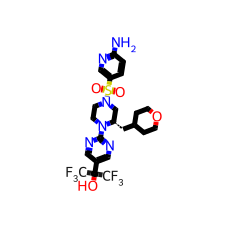 Nc1ccc(S(=O)(=O)N2CCN(c3ncc(C(O)(C(F)(F)F)C(F)(F)F)cn3)[C@@H](CC3CCOCC3)C2)cn1